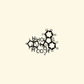 O=C(O)[C@@H]1[C@H]2CCC[C@H]2CN1C(=O)C1(O)c2ccccc2-c2ccccc21